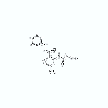 CCCCCCOC(=O)N[C@H](CC(N)=O)C(=O)[C@H](Cl)CCc1ccccc1